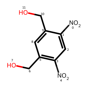 O=[N+]([O-])c1cc([N+](=O)[O-])c(CO)cc1CO